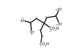 CCC(CC)CC(CCC(=O)O)(CC(CC)CC)C(=O)O